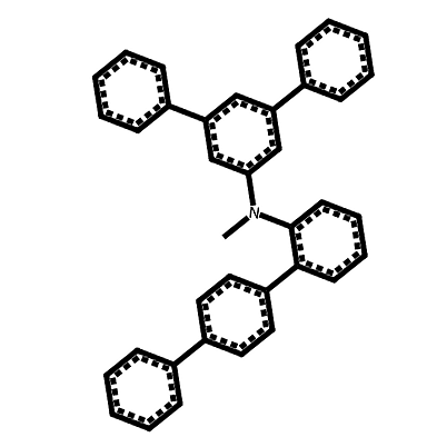 CN(c1cc(-c2ccccc2)cc(-c2ccccc2)c1)c1ccccc1-c1ccc(-c2ccccc2)cc1